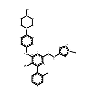 Cc1ccccc1-c1nc(NSc2cnn(C)c2)nc(Oc2ccc(N3CCN(C)CC3)cc2)c1C(C)C